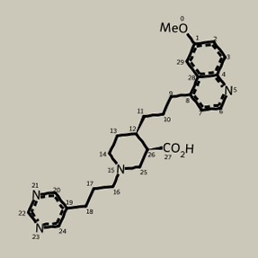 COc1ccc2nccc(CCC[C@@H]3CCN(CCCc4cncnc4)C[C@@H]3C(=O)O)c2c1